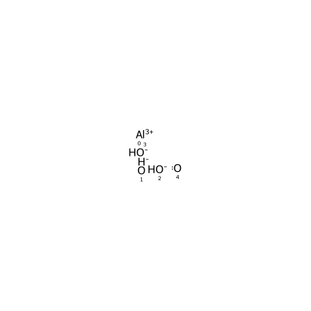 [Al+3].[OH-].[OH-].[OH-].[O]